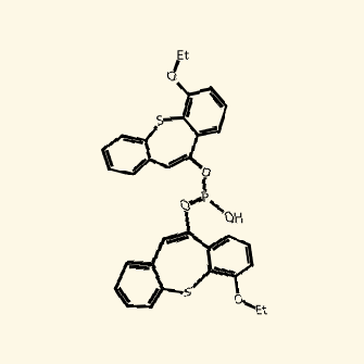 CCOc1cccc2c1Sc1ccccc1C=C2OP(O)OC1=Cc2ccccc2Sc2c(OCC)cccc21